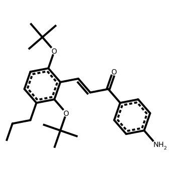 CCCc1ccc(OC(C)(C)C)c(C=CC(=O)c2ccc(N)cc2)c1OC(C)(C)C